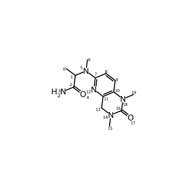 CC(C(N)=O)N(C)c1ccc2c(n1)CN(C)C(=O)N2C